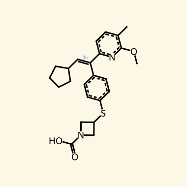 COc1nc(/C(=C/C2CCCC2)c2ccc(SC3CN(C(=O)O)C3)cc2)ccc1C